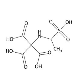 CC(NC(C(=O)O)(C(=O)O)C(=O)O)S(=O)(=O)O